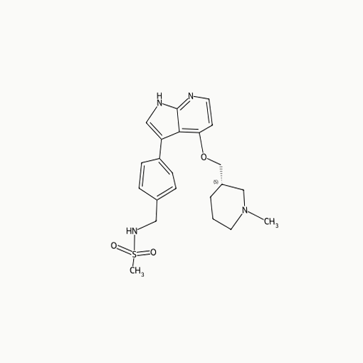 CN1CCC[C@H](COc2ccnc3[nH]cc(-c4ccc(CNS(C)(=O)=O)cc4)c23)C1